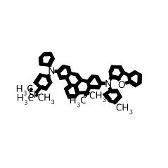 Cc1ccc(N(c2ccc3c(c2)C(C)(C)c2cccc4c2c-3cc2ccc(N(c3ccccc3)c3ccc([Si](C)(C)C)cc3)cc24)c2cccc3c2oc2ccccc23)cc1